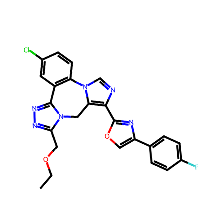 CCOCc1nnc2n1Cc1c(-c3nc(-c4ccc(F)cc4)co3)ncn1-c1ccc(Cl)cc1-2